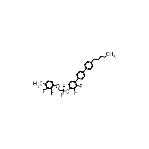 CCCCCc1ccc(-c2ccc(-c3ccc(OC(F)(F)COc4ccc(C)c(F)c4F)c(F)c3F)cc2)cc1